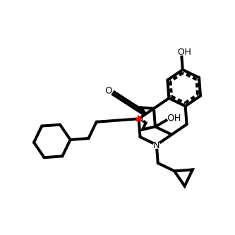 O=C1CC23CCN(CC4CC4)C(Cc4ccc(O)cc42)C3(O)CCN1CCC1CCCCC1